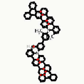 Cc1cc(-c2ccc(N(c3ccc(-c4ccc5c6ccccc6c6ccccc6c5c4)cc3)c3c(C)cccc3-c3ccc(-c4ccccc4)cc3)c(C)c2)ccc1N(c1ccc(-c2ccc3c4ccccc4c4ccccc4c3c2)cc1)c1c(C)cccc1-c1ccc(-c2ccccc2)cc1